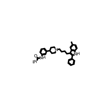 Cc1ccc2[nH]c(-c3ccccc3)c(CCCCN3CCC(c4cccc(NC(=O)C(C)C)c4)CC3)c2c1